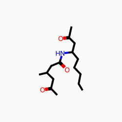 CCCCCC(CC(C)=O)NC(=O)CC(C)CC(C)=O